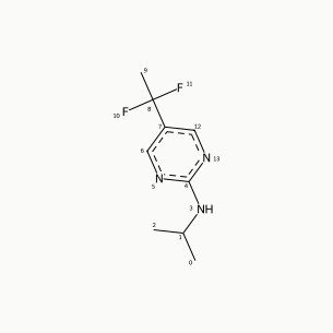 CC(C)Nc1ncc(C(C)(F)F)cn1